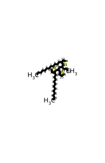 CCCCCCCCCCCCc1ccsc1C(CCC)CC(c1cccs1)c1sccc1CCCCCCCCCCCC